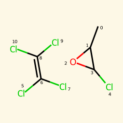 CC1OC1Cl.ClC(Cl)=C(Cl)Cl